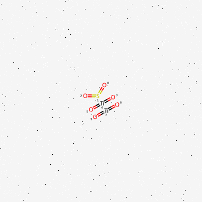 O=S=O.[O]=[Ti]=[O].[O]=[Ti]=[O]